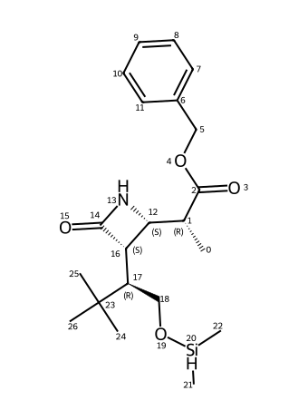 C[C@@H](C(=O)OCc1ccccc1)[C@H]1NC(=O)[C@H]1[C@@H](CO[SiH](C)C)C(C)(C)C